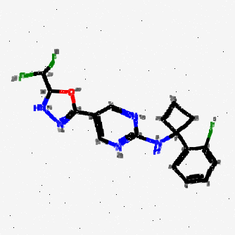 Fc1ccccc1C1(Nc2ncc(C3=NNC(C(F)F)O3)cn2)CCC1